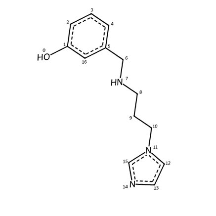 Oc1cccc(CNCCCn2ccnc2)c1